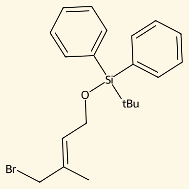 C/C(=C\CO[Si](c1ccccc1)(c1ccccc1)C(C)(C)C)CBr